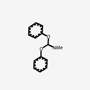 CNC(Oc1ccccc1)Oc1ccccc1